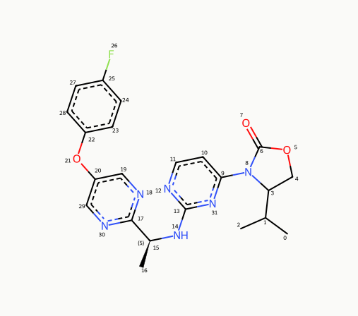 CC(C)C1COC(=O)N1c1ccnc(N[C@@H](C)c2ncc(Oc3ccc(F)cc3)cn2)n1